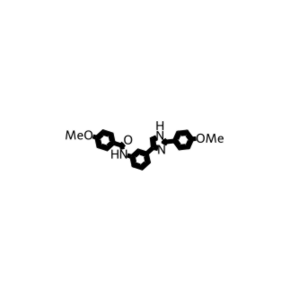 COc1ccc(C(=O)Nc2cccc(-c3c[nH]c(-c4ccc(OC)cc4)n3)c2)cc1